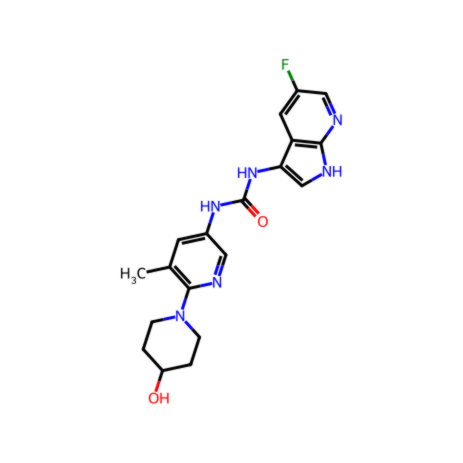 Cc1cc(NC(=O)Nc2c[nH]c3ncc(F)cc23)cnc1N1CCC(O)CC1